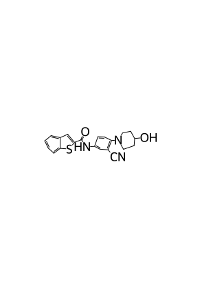 N#Cc1cc(NC(=O)c2cc3ccccc3s2)ccc1N1CCC(O)CC1